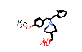 COc1ccc(CC(c2ccccc2)N2CCC(CO)CC2)cc1